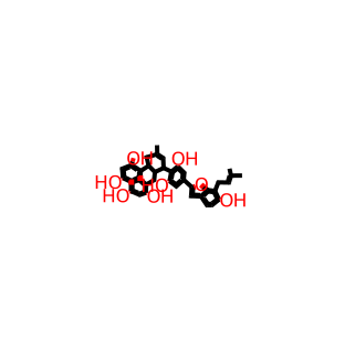 CC(C)=CCc1c(O)ccc2cc(-c3cc(O)c(C4C=C(C)CC(c5ccc(O)cc5O)C4Cc4ccc(O)cc4O)c(O)c3)oc12